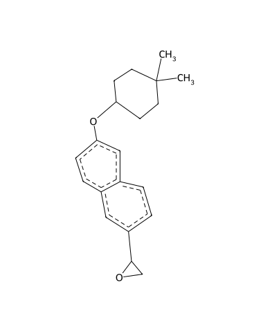 CC1(C)CCC(Oc2ccc3cc(C4CO4)ccc3c2)CC1